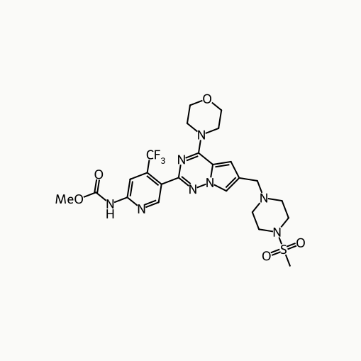 COC(=O)Nc1cc(C(F)(F)F)c(-c2nc(N3CCOCC3)c3cc(CN4CCN(S(C)(=O)=O)CC4)cn3n2)cn1